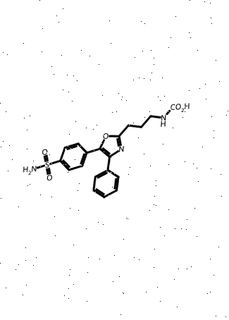 NS(=O)(=O)c1ccc(-c2oc(CCCNC(=O)O)nc2-c2ccccc2)cc1